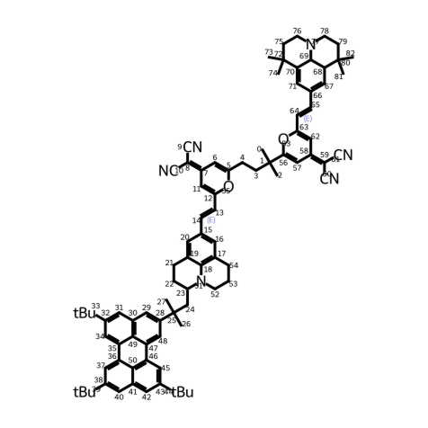 CC(C)(CCC1=CC(=C(C#N)C#N)C=C(/C=C/c2cc3c4c(c2)CCC(CC(C)(C)c2cc5cc(C(C)(C)C)cc6c7cc(C(C)(C)C)cc8cc(C(C)(C)C)cc(c(c2)c56)c87)N4CCC3)O1)C1=CC(=C(C#N)C#N)C=C(/C=C/C2=CC3C4C(=C2)C(C)(C)CCN4CCC3(C)C)O1